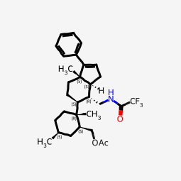 CC(=O)OC[C@H]1C[C@@H](C)CC[C@]1(C)[C@H]1CC[C@]2(C)C(c3ccccc3)=CC[C@H]2[C@@H]1CNC(=O)C(F)(F)F